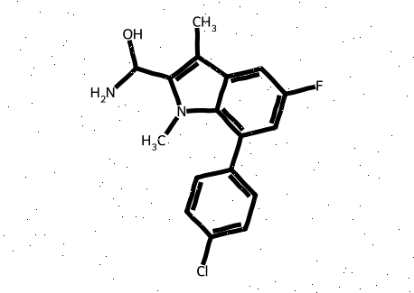 Cc1c(C(N)O)n(C)c2c(-c3ccc(Cl)cc3)cc(F)cc12